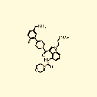 COCCn1cc(C(=O)N2CCC(c3cc(CN)ccc3F)CC2)c2c(NC(=O)N3CCOCC3)cccc21